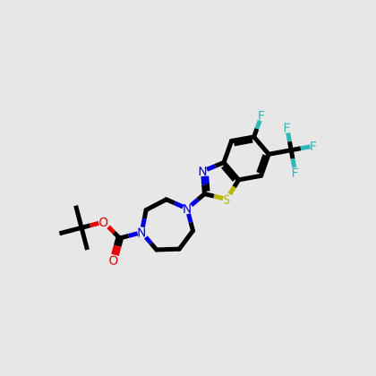 CC(C)(C)OC(=O)N1CCCN(c2nc3cc(F)c(C(F)(F)F)cc3s2)CC1